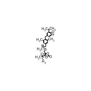 Cc1cc(CP(C)(=O)OCc2oc(=O)oc2C(C)(C)C)cc(C)c1Cc1ccc(O)c(C(C)C)c1